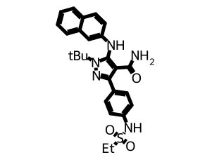 CCS(=O)(=O)Nc1ccc(-c2nn(C(C)(C)C)c(Nc3ccc4ccccc4c3)c2C(N)=O)cc1